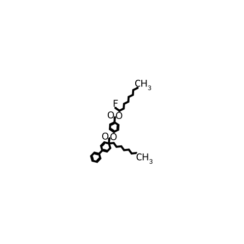 CCCCCCCCC(CF)OC(=O)c1ccc(OC(=O)C2(CCCCCCCC)C=CC(c3ccccc3)=CC2)cc1